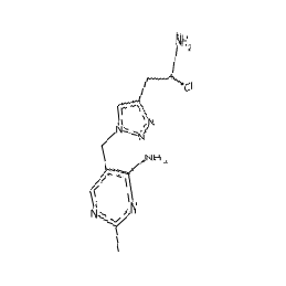 Cc1ncc(Cn2cc(CC(N)Cl)nn2)c(N)n1